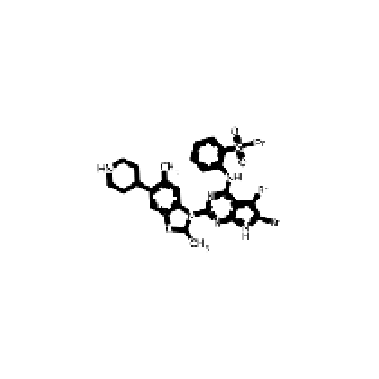 Cc1cc2c(cc1C1CCNCC1)OC(C)N2c1nc(Nc2ccccc2S(=O)(=O)C(C)C)c2c(Br)c(Br)[nH]c2n1